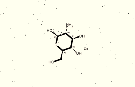 N[C@@H]1[C@@H](O)[C@H](O)[C@@H](CO)O[C@H]1O.[Zn]